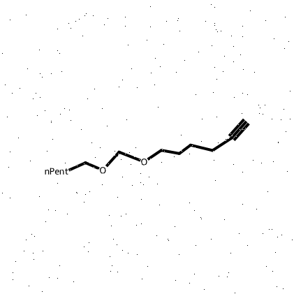 C#CCCCCOCOCCCCCC